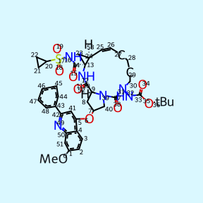 COc1ccc2c(OC3C[C@H]4C(=O)N[C@@]5(C(=O)NS(=O)(=O)C6CC6)C[C@H]5/C=C\CCCCN(NC(=O)OC(C)(C)C)C(=O)N4C3)cc(-c3ccccc3)nc2c1